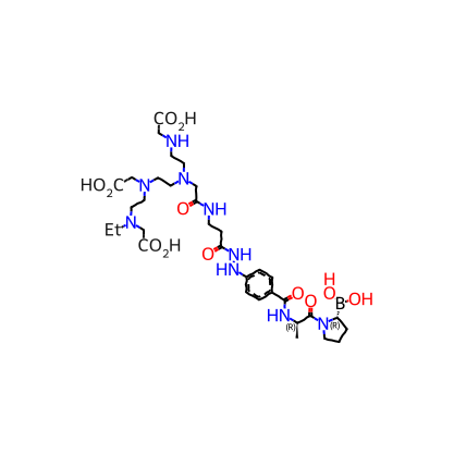 CCN(CCN(CCN(CCNCC(=O)O)CC(=O)NCCC(=O)NNc1ccc(C(=O)N[C@H](C)C(=O)N2CCC[C@H]2B(O)O)cc1)CC(=O)O)CC(=O)O